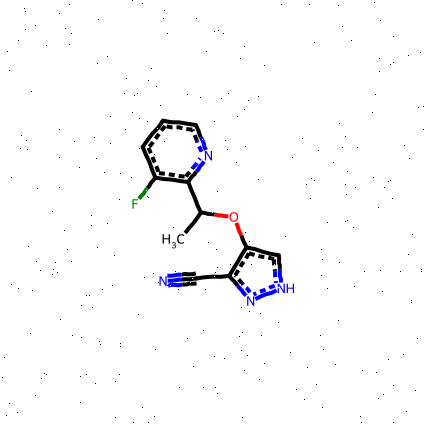 CC(Oc1c[nH]nc1C#N)c1ncccc1F